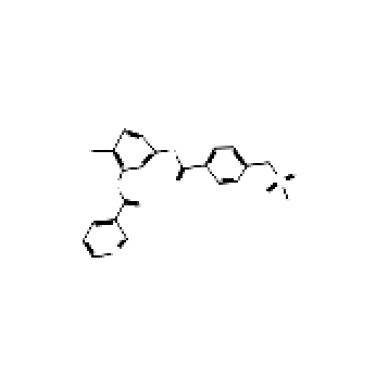 CS(=O)(=O)Cc1ccc(C(=O)Nc2ccc(Cl)c(NC(=O)c3cccnc3)c2)cc1